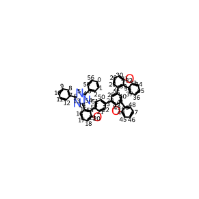 c1ccc(-c2nc(-c3ccccc3)nc(-c3cccc4oc5cc(-c6cc(-c7cccc8oc9ccccc9c78)cc7c6oc6ccccc67)ccc5c34)n2)cc1